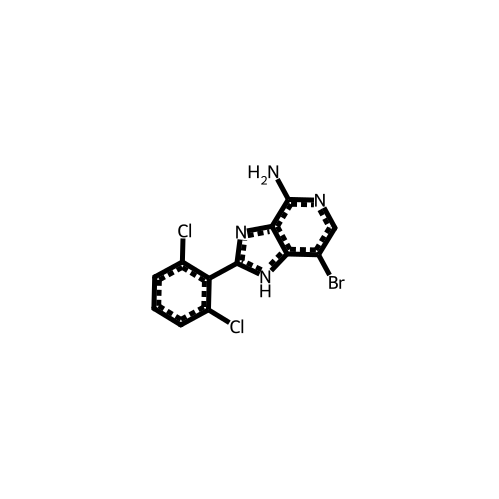 Nc1ncc(Br)c2[nH]c(-c3c(Cl)cccc3Cl)nc12